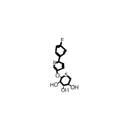 O[C@@H]1[C@@H](O)[C@H](Oc2ccc(-c3ccc(F)cc3)nc2)SC[C@H]1O